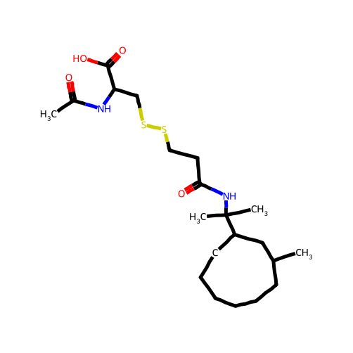 CC(=O)NC(CSSCCC(=O)NC(C)(C)C1CCCCCCC(C)C1)C(=O)O